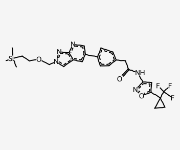 C[Si](C)(C)CCOCn1cc2cc(-c3ccc(CC(=O)Nc4cc(C5(C(F)(F)F)CC5)on4)cc3)cnc2n1